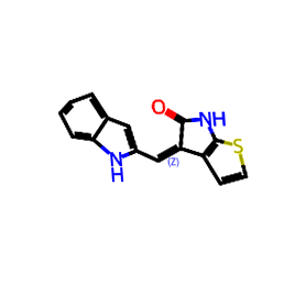 O=C1Nc2sccc2/C1=C/c1cc2ccccc2[nH]1